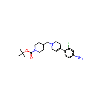 CC(C)(C)OC(=O)N1CCC(CN2CC=C(c3ccc(N)cc3F)CC2)CC1